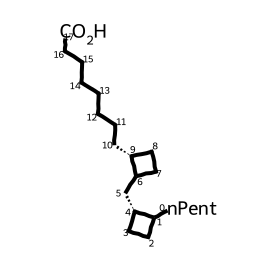 CCCCCC1CC[C@@H]1CC1CC[C@H]1CCCCCCCC(=O)O